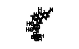 N#Cc1ccc2c(c1)Nc1ncnc3c1c-2cn3[C@@H]1O[C@H](COP(=O)(O)O)[C@H](O)[C@@H]1O